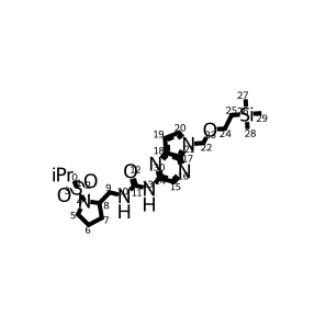 CC(C)S(=O)(=O)N1CCCC1CNC(=O)Nc1cnc2c(ccn2COCC[Si](C)(C)C)n1